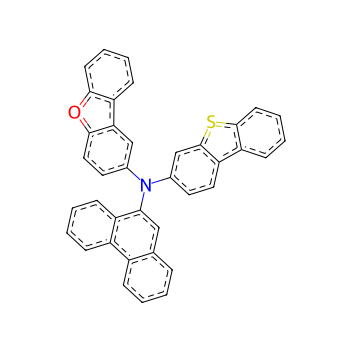 c1ccc2c(c1)cc(N(c1ccc3c(c1)sc1ccccc13)c1ccc3oc4ccccc4c3c1)c1ccccc12